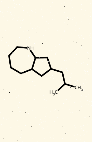 CC(C)CC1CC2CCCCNC2C1